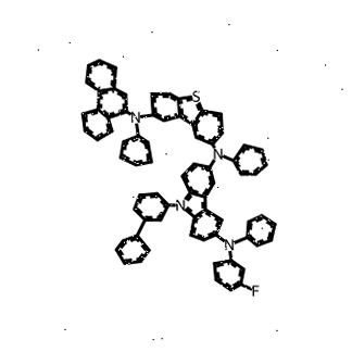 Fc1cccc(N(c2ccccc2)c2ccc3c(c2)c2cc(N(c4ccccc4)c4ccc5sc6ccc(N(c7ccccc7)c7cc8ccccc8c8ccccc78)cc6c5c4)ccc2n3-c2cccc(-c3ccccc3)c2)c1